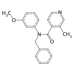 COc1cccc(N(Cc2ccccc2)C(=O)c2ccncc2C)c1